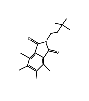 CC(C)(C)CCN1C(=O)c2c(I)c(I)c(I)c(I)c2C1=O